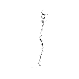 CCCCCCCCCCCCC#CC#CCCCCCCCCC(=O)Oc1ccc(C=O)c(O)c1